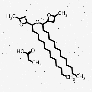 CCC(=O)O.CCCCCCCCCCCCC(OC(CCCCCCCCCCCC)C1CC(C)O1)C1CC(C)O1